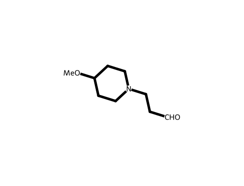 COC1CCN(CCC=O)CC1